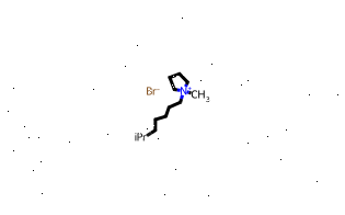 CC(C)CCCCC[N+]1(C)CCCC1.[Br-]